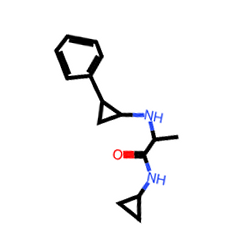 CC(NC1CC1c1ccccc1)C(=O)NC1CC1